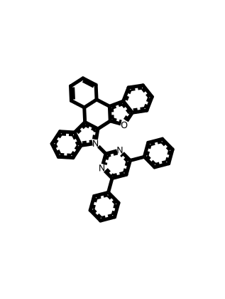 C1=CC2c3c(oc4ccccc34)-c3c(c4ccccc4n3-c3nc(-c4ccccc4)cc(-c4ccccc4)n3)C2C=C1